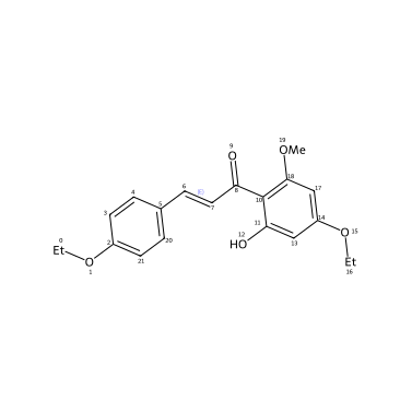 CCOc1ccc(/C=C/C(=O)c2c(O)cc(OCC)cc2OC)cc1